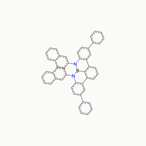 c1ccc(-c2ccc3c(c2)-c2cccc4c2B(N3c2ccc3ccccc3c2)N(c2ccc3ccccc3c2)c2ccc(-c3ccccc3)cc2-4)cc1